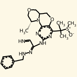 C[C@@H]1COCC2COc3c(nc(N/C(C=N)=N/NCc4ccccc4)nc3C(C)(C)[S+](C)[O-])N21